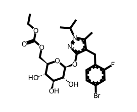 CCOC(=O)OC[C@H]1O[C@@H](Oc2nn(C(C)C)c(C)c2Cc2ccc(Br)cc2F)[C@H](O)[C@@H](O)[C@@H]1O